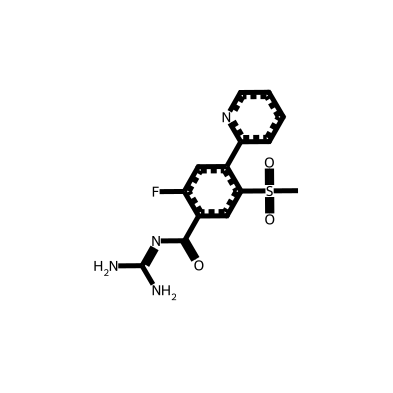 CS(=O)(=O)c1cc(C(=O)N=C(N)N)c(F)cc1-c1ccccn1